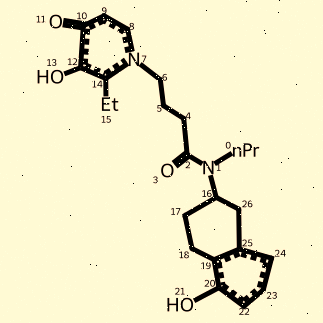 CCCN(C(=O)CCCn1ccc(=O)c(O)c1CC)C1CCc2c(O)cccc2C1